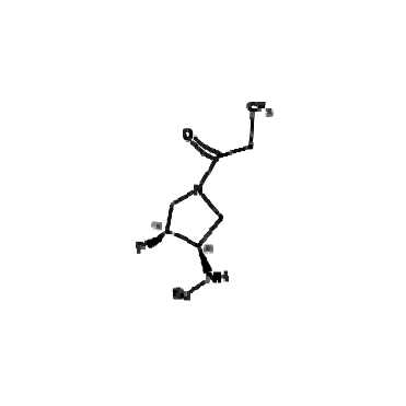 CC(C)(C)N[C@@H]1CN(C(=O)CC(F)(F)F)C[C@@H]1F